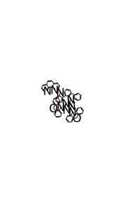 c1ccc2c(c1)Oc1ccccc1N2c1nc(N2c3ccccc3Oc3ccccc32)nc(-n2c3ccccc3c3ccc4c(c5ccccc5n4-c4ccc5ccc6cccnc6c5n4)c32)n1